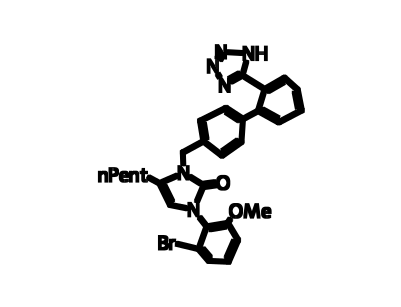 CCCCCc1cn(-c2c(Br)cccc2OC)c(=O)n1Cc1ccc(-c2ccccc2-c2nnn[nH]2)cc1